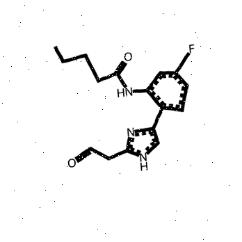 CCCCC(=O)Nc1cc(F)ccc1-c1c[nH]c(CC=O)n1